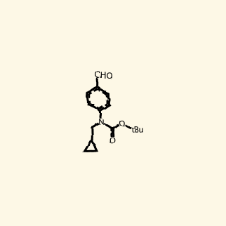 CC(C)(C)OC(=O)N(CC1CC1)c1ccc(C=O)cc1